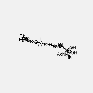 CC(=O)N[C@H]1[C@H](OCCCc2cn(CCOCCOCCOCCNC(=O)CCOCCOCCC(=O)Oc3c(F)c(F)c(F)c(F)c3F)nn2)O[C@H](CO)[C@H](O)[C@@H]1OC(=O)C(C)C